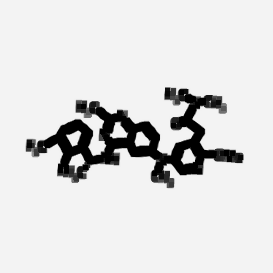 COc1ncc(N(C)c2ccc3nc(C)nc(N[C@H](C)c4cccc(C(F)(F)F)c4F)c3c2)cc1CC(=O)N(C)C